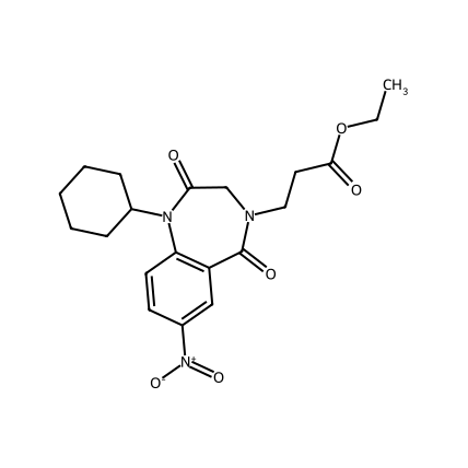 CCOC(=O)CCN1CC(=O)N(C2CCCCC2)c2ccc([N+](=O)[O-])cc2C1=O